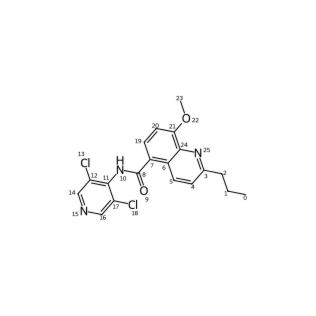 CCCc1ccc2c(C(=O)Nc3c(Cl)cncc3Cl)ccc(OC)c2n1